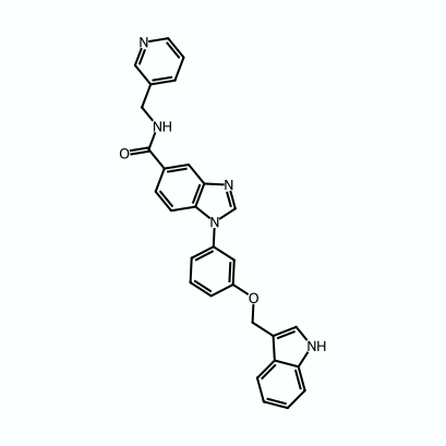 O=C(NCc1cccnc1)c1ccc2c(c1)ncn2-c1cccc(OCc2c[nH]c3ccccc23)c1